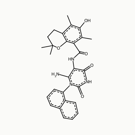 Cc1c(O)c(C)c(C(=O)Nc2c(N)n(-c3cccc4ccccc34)c(=O)[nH]c2=O)c2c1CCC(C)(C)O2